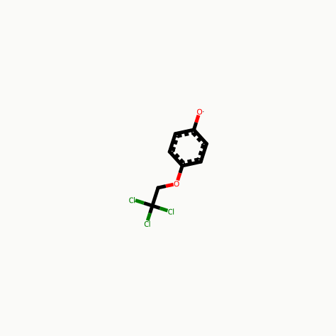 [O]c1ccc(OCC(Cl)(Cl)Cl)cc1